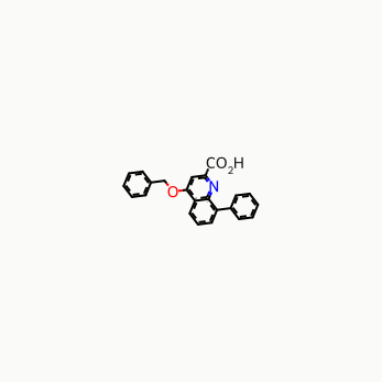 O=C(O)c1cc(OCc2ccccc2)c2cccc(-c3ccccc3)c2n1